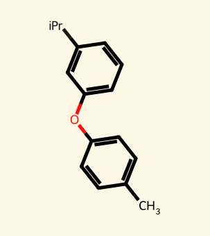 Cc1ccc(Oc2cccc(C(C)C)c2)cc1